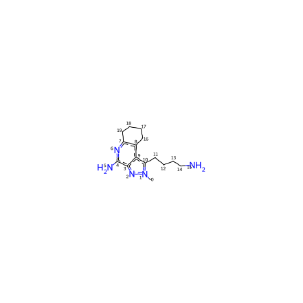 Cn1nc2c(N)nc3c(c2c1CCCCN)CCCC3